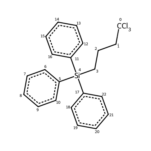 ClC(Cl)(Cl)[CH]CC[Si](c1ccccc1)(c1ccccc1)c1ccccc1